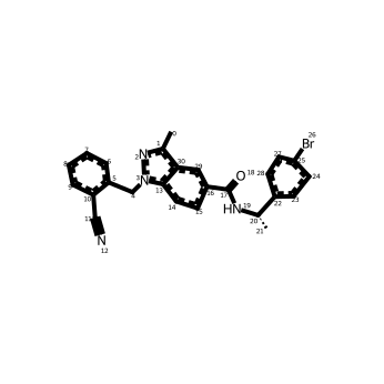 Cc1nn(Cc2ccccc2C#N)c2ccc(C(=O)N[C@@H](C)c3ccc(Br)cc3)cc12